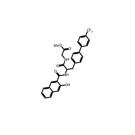 COC(=O)CNC(=O)C(Cc1ccc(-c2ccc(C(F)(F)F)cc2)cc1)NC(=O)c1cc2ccccc2cc1O